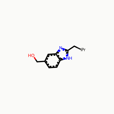 CC(C)Cc1nc2cc(CO)ccc2[nH]1